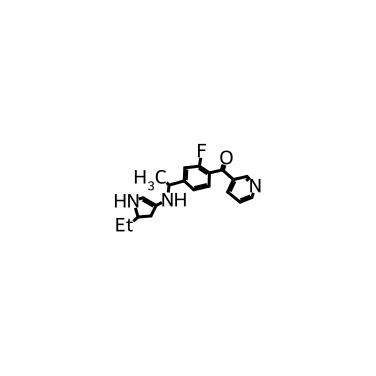 CCC1CC(NC(C)c2ccc(C(=O)c3cccnc3)c(F)c2)=CN1